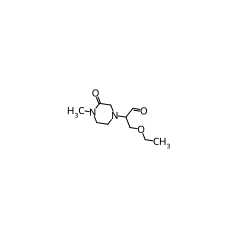 CCOCC(C=O)N1CCN(C)C(=O)C1